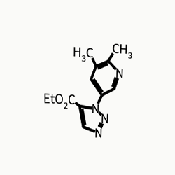 CCOC(=O)c1cnnn1-c1cnc(C)c(C)c1